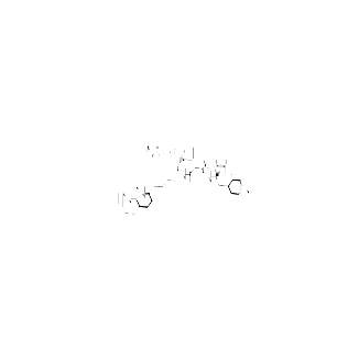 CO[C@H](CF)CN(CCCCc1ccc2c(n1)NCCC2)CC[C@H](NC(=O)Cc1ccncc1)C(=O)O